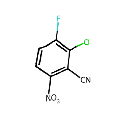 N#Cc1c([N+](=O)[O-])ccc(F)c1Cl